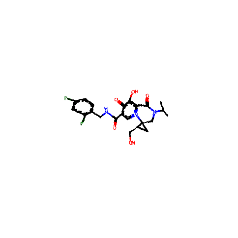 CC(C)N1C[C@]2(C[C@H]2CO)n2cc(C(=O)NCc3ccc(F)cc3F)c(=O)c(O)c2C1=O